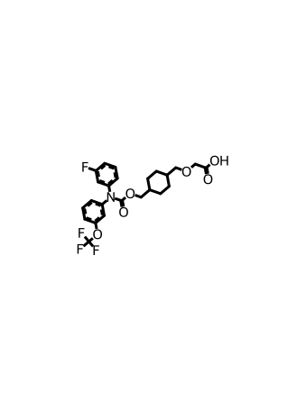 O=C(O)COCC1CCC(COC(=O)N(c2cccc(F)c2)c2cccc(OC(F)(F)F)c2)CC1